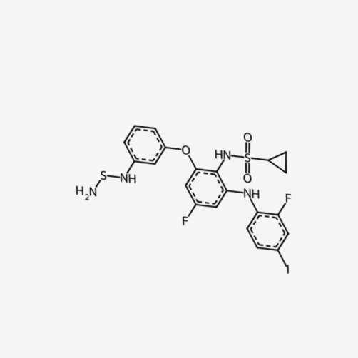 NSNc1cccc(Oc2cc(F)cc(Nc3ccc(I)cc3F)c2NS(=O)(=O)C2CC2)c1